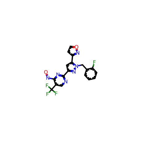 O=Nc1nc(-c2cc(-c3ccon3)n(Cc3ccccc3F)n2)ncc1C(F)(F)F